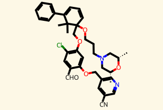 C[C@@H]1CN(CCCOC2(COc3cc(OCc4cncc(C#N)c4)c(C=O)cc3Cl)C=CC=C(c3ccccc3)C2(C)C)C[C@H](C)O1